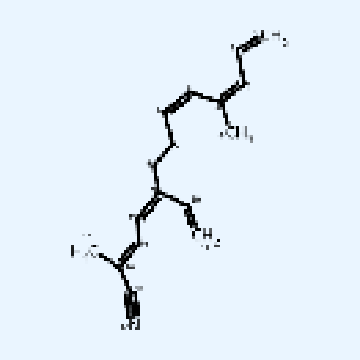 C=C/C=C(C)\C=C/CC/C(C=C)=C/C=C(\C)C#N